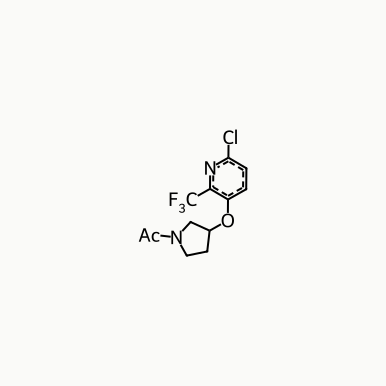 CC(=O)N1CCC(Oc2ccc(Cl)nc2C(F)(F)F)C1